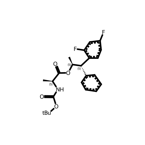 C[C@H](NC(=O)OC(C)(C)C)C(=O)O[C@@H](C)[C@@H](c1ccccc1)c1ccc(F)cc1F